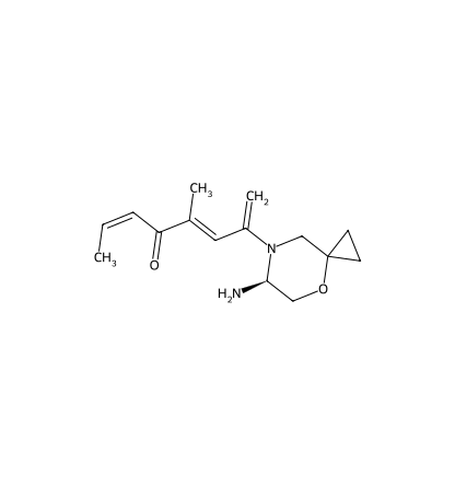 C=C(/C=C(\C)C(=O)/C=C\C)N1CC2(CC2)OC[C@H]1N